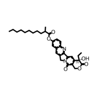 CCCCCCCCCC(C)C(=O)Oc1ccc2nc3c(cc2c1)Cn1c-3cc2c(c1=O)COC(=O)[C@]2(O)CC